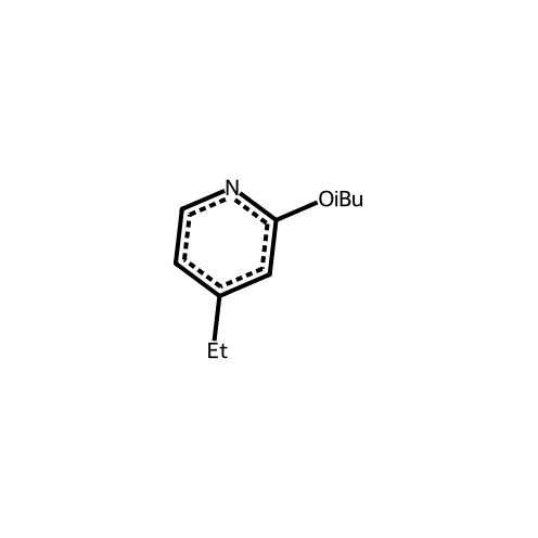 CCc1ccnc(OCC(C)C)c1